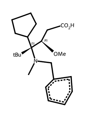 CO[C@H](CC(=O)O)[C@@](C1CCCC1)(N(C)Cc1ccccc1)C(C)(C)C